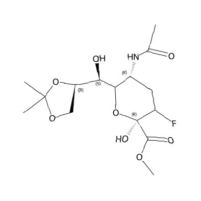 COC(=O)[C@@]1(O)OC([C@H](O)[C@H]2COC(C)(C)O2)[C@H](NC(C)=O)CC1F